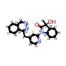 CC1(O)C(=O)N(c2cc(Cc3nn[c]c4ccccc34)ccn2)c2ccccc21